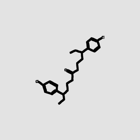 CCC(CCCC(=O)CCCC(CC)c1ccc(Cl)cc1)c1ccc(Cl)cc1